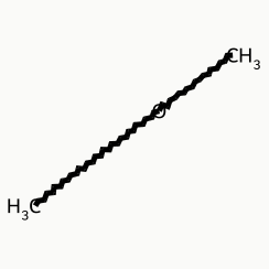 CCCCCCCCCCCCCCCCCCCCCCCCCCCCCCOCCCCCCCCCCCCCCCCCC